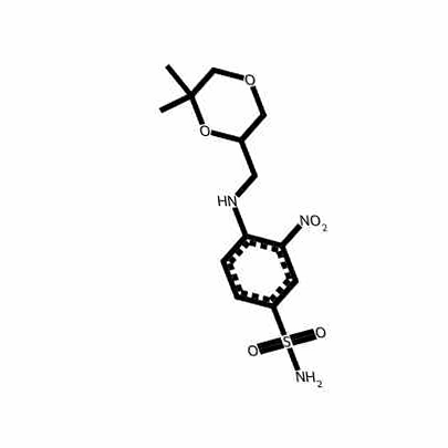 CC1(C)COCC(CNc2ccc(S(N)(=O)=O)cc2[N+](=O)[O-])O1